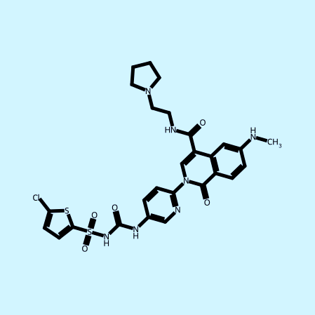 CNc1ccc2c(=O)n(-c3ccc(NC(=O)NS(=O)(=O)c4ccc(Cl)s4)cn3)cc(C(=O)NCCN3CCCC3)c2c1